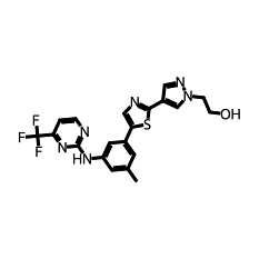 Cc1cc(Nc2nccc(C(F)(F)F)n2)cc(-c2cnc(-c3cnn(CCO)c3)s2)c1